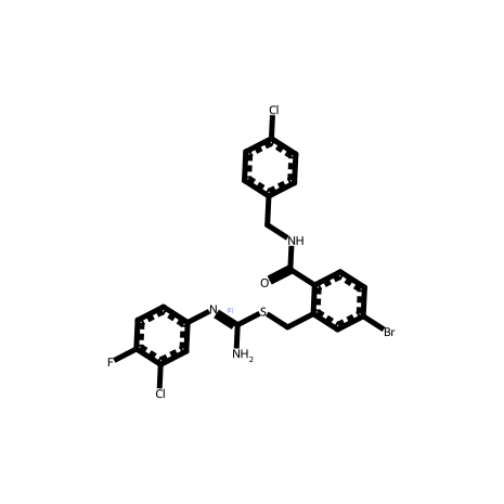 N/C(=N\c1ccc(F)c(Cl)c1)SCc1cc(Br)ccc1C(=O)NCc1ccc(Cl)cc1